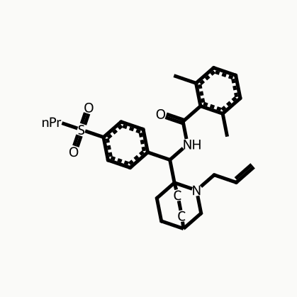 C=CCN1CC2CCC1(C(NC(=O)c1c(C)cccc1C)c1ccc(S(=O)(=O)CCC)cc1)CC2